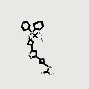 CC(C)(C)[Si](OC1CC(c2cc(C34CC(NC(=O)O)(C3)C4)no2)C1)(c1ccccc1)c1ccccc1